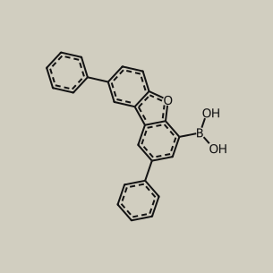 OB(O)c1cc(-c2ccccc2)cc2c1oc1ccc(-c3ccccc3)cc12